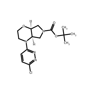 CC(C)(C)OC(=O)N1C[C@@H]2OCCN(c3ccc(Cl)nn3)[C@@H]2C1